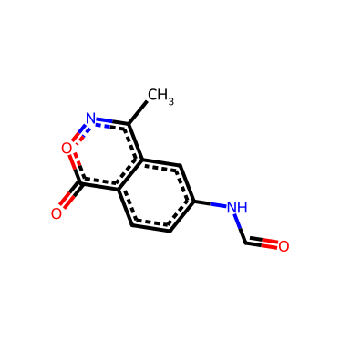 Cc1noc(=O)c2ccc(NC=O)cc12